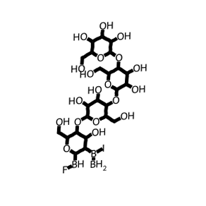 BB(I)C1C(BF)OC(CO)C(OC2OC(CO)C(OC3OC(CO)C(OC4OC(CO)C(O)C(O)C4O)C(O)C3O)C(O)C2O)C1O